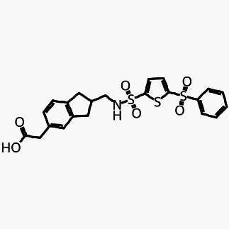 O=C(O)Cc1ccc2c(c1)CC(CNS(=O)(=O)c1ccc(S(=O)(=O)c3ccccc3)s1)C2